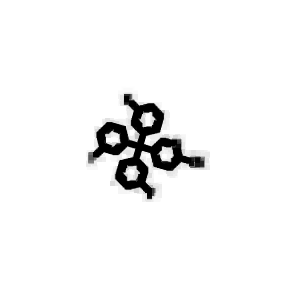 N#Cc1ccc(C(c2cccc(F)c2)(c2cccc(F)c2)c2cccc(F)c2)cn1